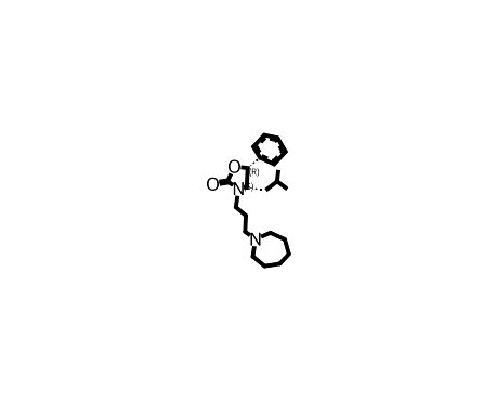 CC(C)C[C@H]1[C@@H](c2ccccc2)OC(=O)N1CCCN1CCCCCC1